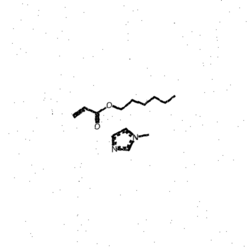 C=CC(=O)OCCCCCC.Cn1ccnc1